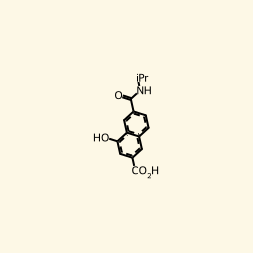 CC(C)NC(=O)c1ccc2cc(C(=O)O)cc(O)c2c1